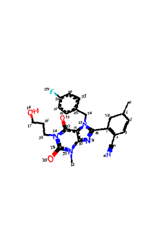 CC1C=CC(C#N)=C(c2nc3c(c(=O)n(CCCO)c(=O)n3C)n2Cc2ccc(F)cc2)C1